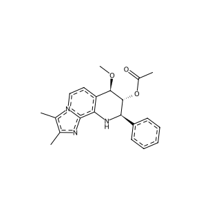 CO[C@@H]1c2ccn3c(C)c(C)nc3c2N[C@H](c2ccccc2)[C@H]1OC(C)=O